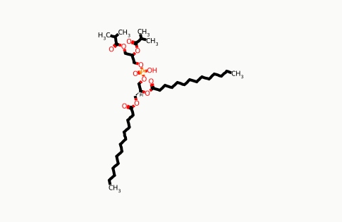 CCCCCCCCCCCCCC(=O)OC[C@H](COP(=O)(O)OCC(COC(=O)C(C)C)OC(=O)C(C)C)OC(=O)CCCCCCCCCCCCC